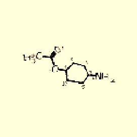 CC(=O)OC1CCC(N)CC1